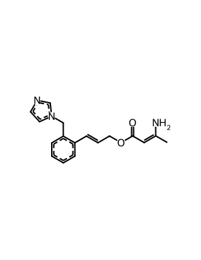 C/C(N)=C/C(=O)OC/C=C/c1ccccc1Cn1ccnc1